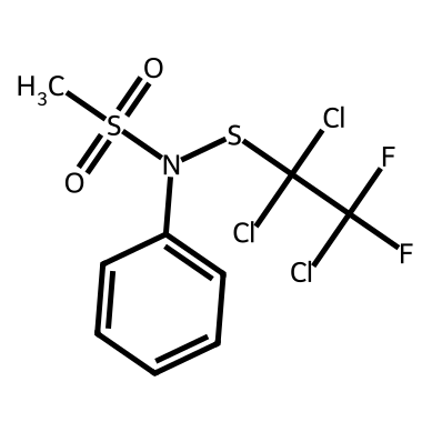 CS(=O)(=O)N(SC(Cl)(Cl)C(F)(F)Cl)c1ccccc1